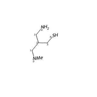 CNCC(CN)CS